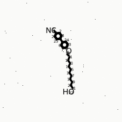 N#Cc1ccc(-c2ccc(OCCCCCCCCCCCCO)cc2)cc1